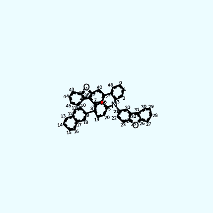 c1ccc(N(c2ccc(-c3ccc4ccccc4c3)cc2)c2ccc3oc4ccccc4c3c2)c(-c2ccc3c(c2)oc2ccccc23)c1